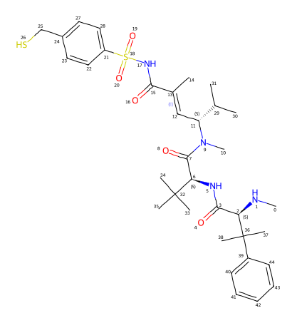 CN[C@H](C(=O)N[C@H](C(=O)N(C)[C@H](/C=C(\C)C(=O)NS(=O)(=O)c1ccc(CS)cc1)C(C)C)C(C)(C)C)C(C)(C)c1ccccc1